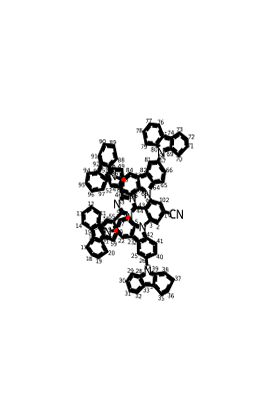 N#Cc1cc(-n2c3ccc(-n4c5ccccc5c5ccccc54)cc3c3cc(-n4c5ccccc5c5ccccc54)ccc32)c(-c2nc(-c3ccccc3)nc(-c3ccccc3)n2)c(-n2c3ccc(-n4c5ccccc5c5ccccc54)cc3c3cc(-n4c5ccccc5c5ccccc54)ccc32)c1